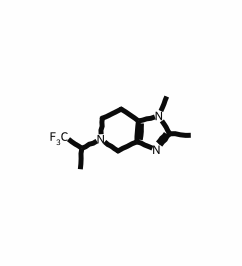 Cc1nc2c(n1C)CCN(C(C)C(F)(F)F)C2